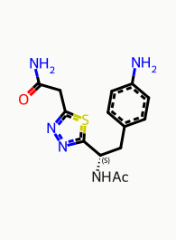 CC(=O)N[C@@H](Cc1ccc(N)cc1)c1nnc(CC(N)=O)s1